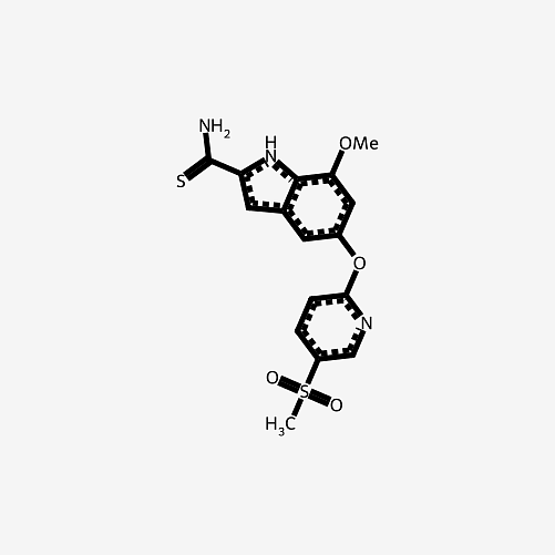 COc1cc(Oc2ccc(S(C)(=O)=O)cn2)cc2cc(C(N)=S)[nH]c12